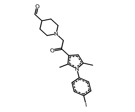 Cc1cc(C(=O)CN2CCC(C=O)CC2)c(C)n1-c1ccc(I)cc1